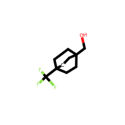 OCC12CCC(C(F)(F)F)(CC1)CC2